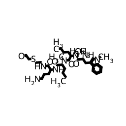 CCCCC(C(=O)N(C)C(CCCC)C(=O)NC(CCCN)C(=O)NCCSCC=O)N(C)C(=O)C(Cc1cn(C)c2ccccc12)NC